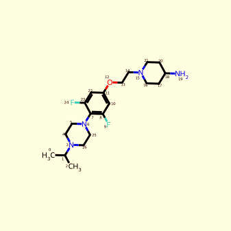 CC(C)N1CCN(c2c(F)cc(OCCN3CCC(N)CC3)cc2F)CC1